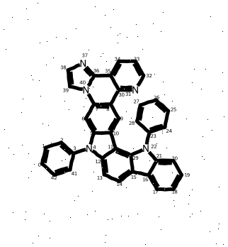 c1ccc(-n2c3cc4c(cc3c3c2ccc2c5ccccc5n(-c5ccccc5)c23)c2ncccc2c2nccn42)cc1